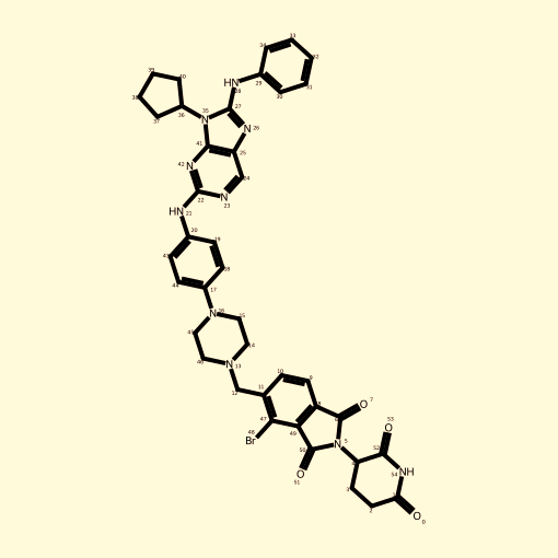 O=C1CCC(N2C(=O)c3ccc(CN4CCN(c5ccc(Nc6ncc7nc(Nc8ccccc8)n(C8CCCC8)c7n6)cc5)CC4)c(Br)c3C2=O)C(=O)N1